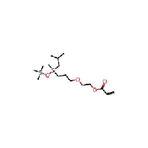 C=CC(=O)OCCOCCC[Si](C)(CC(C)C)O[Si](C)(C)C